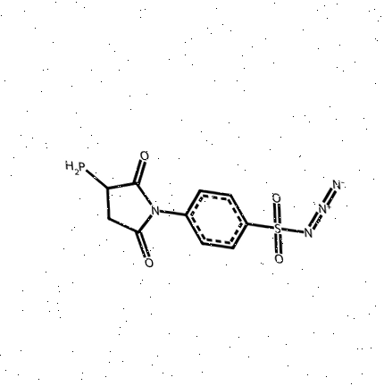 [N-]=[N+]=NS(=O)(=O)c1ccc(N2C(=O)CC(P)C2=O)cc1